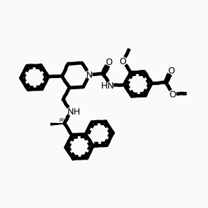 COC(=O)c1ccc(NC(=O)N2CCC(c3ccccc3)C(CN[C@H](C)c3cccc4ccccc34)C2)c(OC)c1